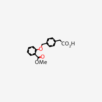 COC(=O)c1ccccc1OCc1ccc(CC(=O)O)cc1